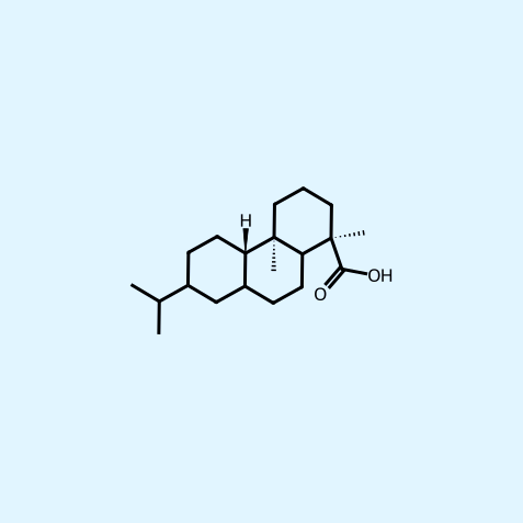 CC(C)C1CC[C@H]2C(CCC3[C@](C)(C(=O)O)CCC[C@@]32C)C1